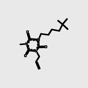 C=CCn1c(=O)n(C)c(=O)n(CCCCC(C)(C)C)c1=O